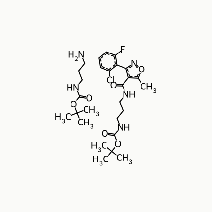 CC(C)(C)OC(=O)NCCCN.Cc1onc(-c2c(F)cccc2Cl)c1C(=O)NCCCNC(=O)OC(C)(C)C